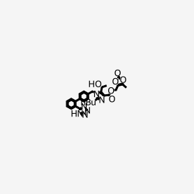 CCCCc1nc(C(=O)OCc2oc(=O)oc2C)c(C(C)O)n1Cc1ccc(-c2ccccc2-c2nnn[nH]2)cc1